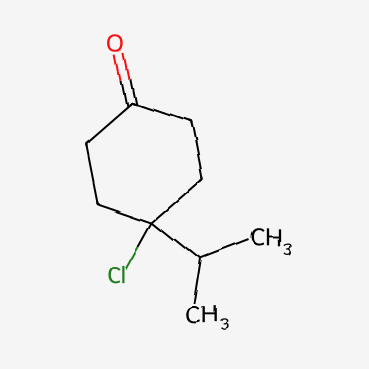 CC(C)C1(Cl)CCC(=O)CC1